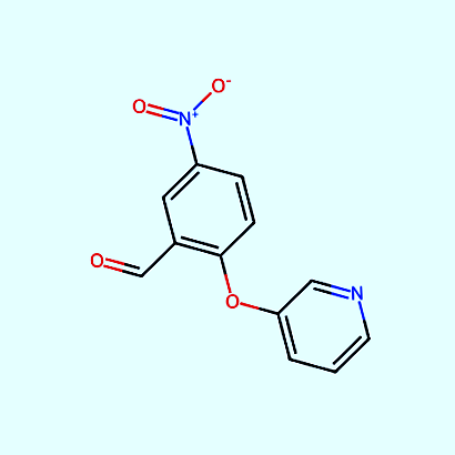 O=Cc1cc([N+](=O)[O-])ccc1Oc1cccnc1